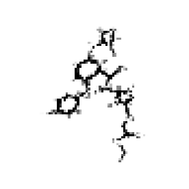 CCOC(=O)CSc1cnc(NC(=O)c2nc(Sc3nncn3C)ccc2Sc2ccc(F)cc2)s1